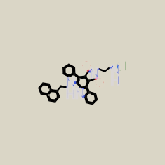 O=C1c2c(c3c4ccccc4n(CCc4cccc5ccccc45)c3c3[nH]c4ccccc4c23)C(=O)N1CCCNCl